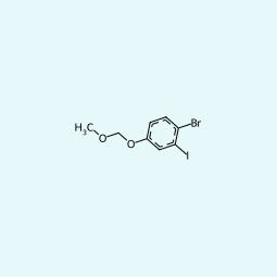 COCOc1ccc(Br)c(I)c1